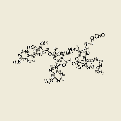 CO[C@H]1[C@@H](O[P@](O)(=S)OC[C@H]2O[C@@H](n3cnc4c(N)ncnc43)[C@H](O[P@](O)(=S)OC[C@H]3O[C@@H](n4cnc5c(N)ncnc54)[C@H](O)[C@@H]3O)[C@@H]2OC)[C@H](n2cnc3c(N)ncnc32)O[C@@H]1CCOC=O